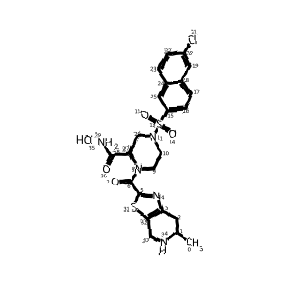 CC1Cc2nc(C(=O)N3CCN(S(=O)(=O)c4ccc5cc(Cl)ccc5c4)CC3C(N)=O)sc2CN1.Cl